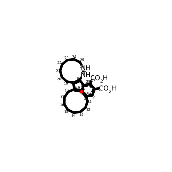 O=C(O)c1cccc(C2=C(C3=CCCCCCCCCC3)CCCCCCCNN2)c1C(=O)O